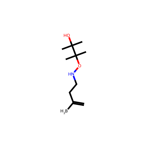 BC(=C)CCNOC(C)(C)C(C)(C)O